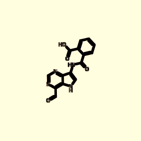 O=Cc1ncnc2c(NC(=O)c3ccccc3C(=O)O)c[nH]c12